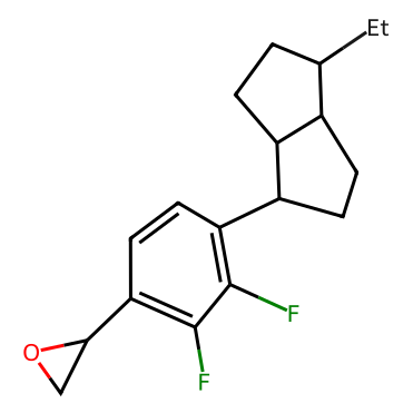 CCC1CCC2C(c3ccc(C4CO4)c(F)c3F)CCC12